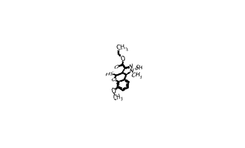 CCOC(=O)C1=N[N+](C)(S)C2C1=C(S)Oc1c(OC)cccc12